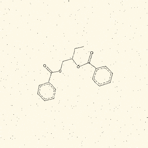 CCC(COC(=O)c1ccccc1)OC(=O)c1ccccc1